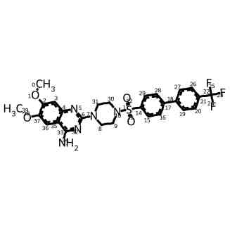 COc1cc2nc(N3CCN(S(=O)(=O)c4ccc(-c5ccc(C(F)(F)F)cc5)cc4)CC3)nc(N)c2cc1OC